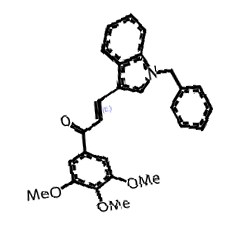 COc1cc(C(=O)/C=C/c2cn(Cc3ccccc3)c3ccccc23)cc(OC)c1OC